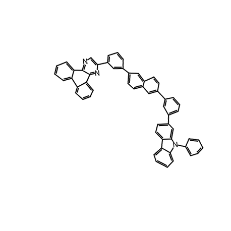 c1ccc(-n2c3ccccc3c3ccc(-c4cccc(-c5ccc6cc(-c7cccc(-c8cnc9c%10ccccc%10c%10ccccc%10c9n8)c7)ccc6c5)c4)cc32)cc1